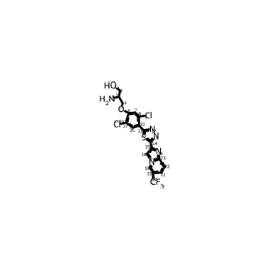 NC(CO)COc1cc(Cl)c(-c2nnc(-c3cn4cc(C(F)(F)F)ccc4n3)s2)cc1Cl